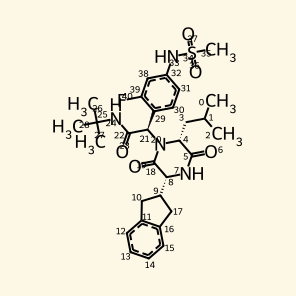 CC(C)C[C@@H]1C(=O)N[C@H](C2Cc3ccccc3C2)C(=O)N1[C@@H](C(=O)NC(C)(C)C)c1ccc(NS(C)(=O)=O)cc1F